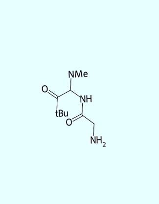 CNC(NC(=O)CN)C(=O)C(C)(C)C